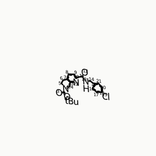 CC(C)(C)OC(=O)N1CCc2ccc(C(=O)NCc3ccc(Cl)cc3)nc2C1